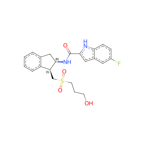 O=C(N[C@@H]1Cc2ccccc2[C@@H]1CS(=O)(=O)CCCO)c1cc2cc(F)ccc2[nH]1